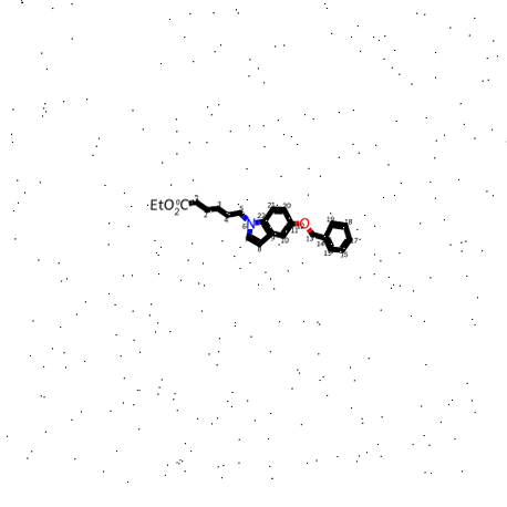 CCOC(=O)CCCCCn1ccc2cc(OCc3ccccc3)ccc21